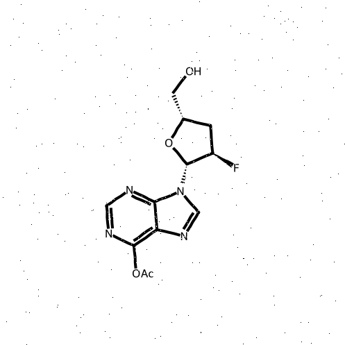 CC(=O)Oc1ncnc2c1ncn2[C@@H]1O[C@H](CO)C[C@H]1F